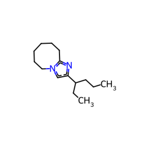 CCCC(CC)c1cn2c(n1)CCCCCC2